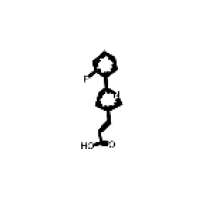 O=C(O)/C=C/c1ccc(-c2ccccc2F)nc1